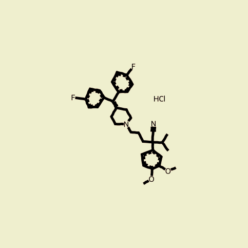 COc1ccc(C(C#N)(CCCN2CCC(=C(c3ccc(F)cc3)c3ccc(F)cc3)CC2)C(C)C)cc1OC.Cl